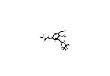 COC(=O)CCc1cc(C=O)c(O)c(B2OC(C)(C)C(C)(C)O2)c1